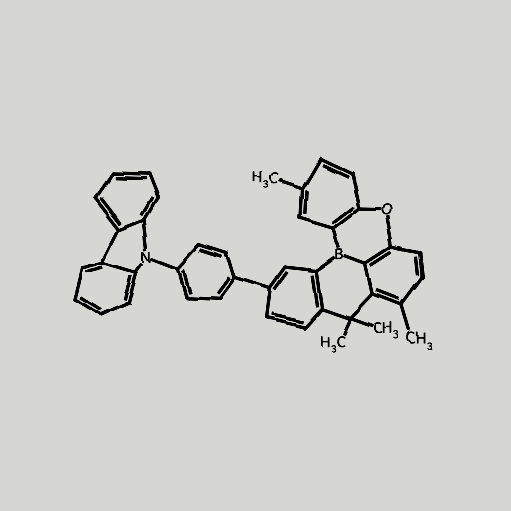 Cc1ccc2c(c1)B1c3cc(-c4ccc(-n5c6ccccc6c6ccccc65)cc4)ccc3C(C)(C)c3c(C)ccc(c31)O2